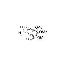 COc1c(OC)c(OC(C)=O)c2cc(C)c(C)cc2c1OC(C)=O